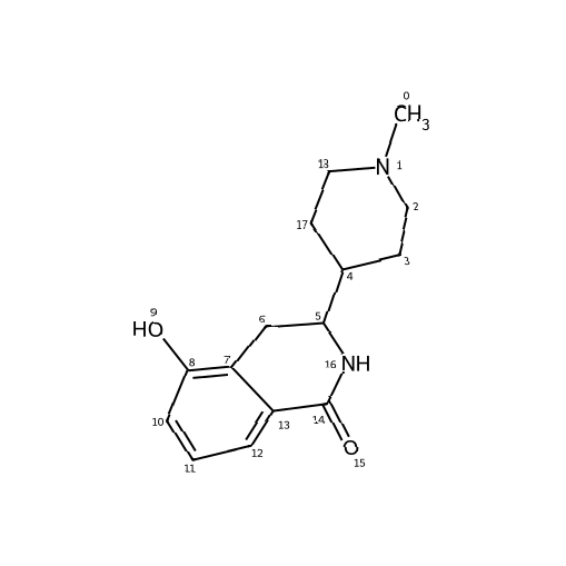 CN1CCC(C2Cc3c(O)cccc3C(=O)N2)CC1